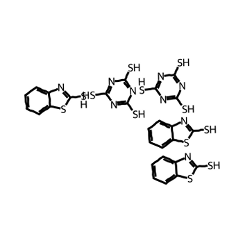 Sc1nc(S)nc(S)n1.Sc1nc(S)nc(S)n1.Sc1nc2ccccc2s1.Sc1nc2ccccc2s1.Sc1nc2ccccc2s1